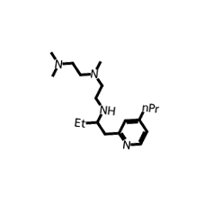 CCCc1ccnc(CC(CC)NCCN(C)CCN(C)C)c1